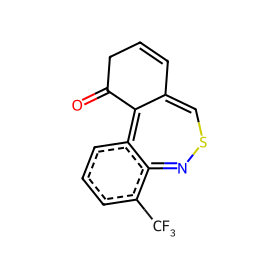 O=C1CC=CC2=CSN=c3c(C(F)(F)F)cccc3=C12